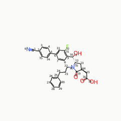 N#Cc1ccc(-c2ccc(C(O)[C@@H]3C[C@@H](CC(=O)O)C(=O)N3CCCc3ccccc3)c(F)c2)cc1